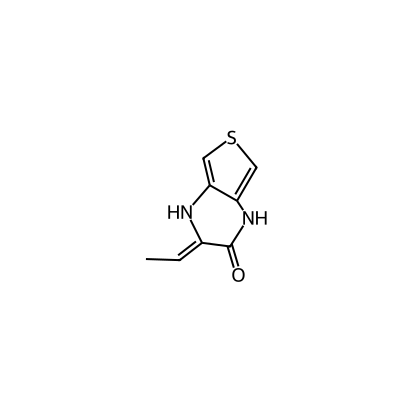 CC=C1Nc2cscc2NC1=O